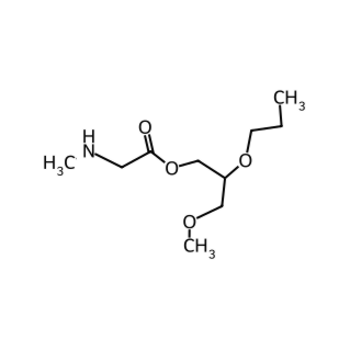 CCCOC(COC)COC(=O)CNC